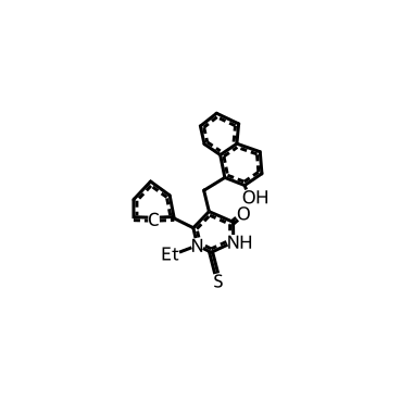 CCn1c(-c2ccccc2)c(Cc2c(O)ccc3ccccc23)c(=O)[nH]c1=S